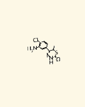 CC1SC(=O)NN=C1c1ccc(Cl)c(N)c1